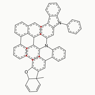 CC12C=CC=CC1Oc1ccc(-c3ccccc3N(c3ccc4c5ccccc5n(-c5ccccc5)c4c3)c3ccccc3-c3cccc4cccc(-c5ccccc5)c34)cc12